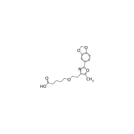 Cc1oc(-c2ccc3c(c2)OCO3)nc1CCOCCCCC(=O)O